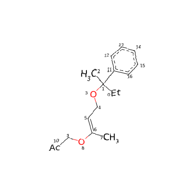 CCC(C)(OC/C=C(\C)OCC(C)=O)c1ccccc1